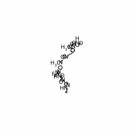 CN(CC[C@H]1CN(CCCc2ccc3c(c2)n(C)c(=O)n3C2CCC(=O)NC2=O)CCO1)C[C@H]1CC[C@H](n2cc(NC(=O)c3coc(-c4ccnc(NCC5CC5)c4)n3)c(C(F)F)n2)CC1